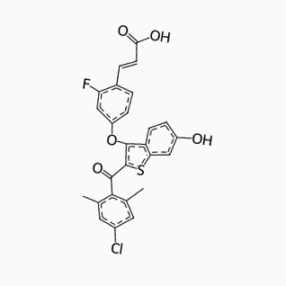 Cc1cc(Cl)cc(C)c1C(=O)c1sc2cc(O)ccc2c1Oc1ccc(/C=C/C(=O)O)c(F)c1